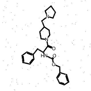 O=C(NC(Cc1ccccc1)C(=O)N1CCC(CN2CCCC2)CC1)OCc1ccccc1